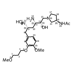 COCCCOc1cc(C[C@@H](C[C@H](N)[C@@H](O)CN2CC[C@@H](NC(C)=O)C2)C(C)C)ccc1OC.Cl